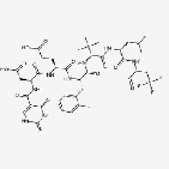 Cc1ccccc1C[C@H](NC(=O)[C@H](CCC(=O)O)NC(=O)[C@H](CC(=O)O)NC(=O)c1c[nH]c(=O)[nH]c1=O)C(=O)N[C@H](C(=O)N[C@@H](CC(C)C)C(=O)NC(C=O)CC(F)(F)F)C(C)(C)C